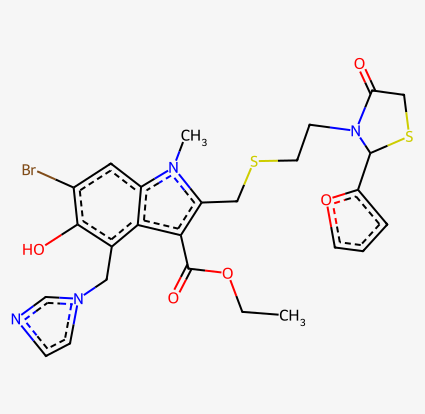 CCOC(=O)c1c(CSCCN2C(=O)CSC2c2ccco2)n(C)c2cc(Br)c(O)c(Cn3ccnc3)c12